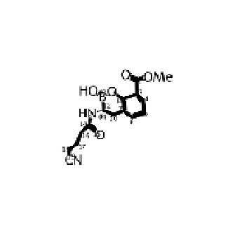 COC(=O)c1cccc2c1OB(O)[C@@H](NC(=O)CCCC#N)C2